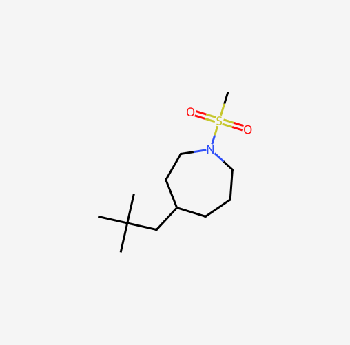 CC(C)(C)CC1CCCN(S(C)(=O)=O)CC1